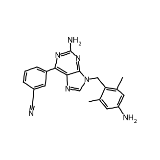 Cc1cc(N)cc(C)c1Cn1cnc2c(-c3cccc(C#N)c3)nc(N)nc21